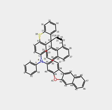 c1ccc(N(c2ccc3c(c2)C2(c4ccccc4S3)c3ccccc3-c3cccc4cccc2c34)c2ccc3c(c2)oc2cc4ccccc4cc23)cc1